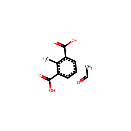 CC=O.Cc1c(C(=O)O)cccc1C(=O)O